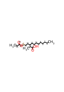 CCC(=O)O.CCCCCCCCCCCCSOC(=O)CC